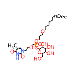 CCCCCCCCCCCCCCCCOCCCOP(=O)(COCCn1cc(C)c(=O)[nH]c1=O)OC1O[C@H](CO)[C@H](O)[C@H](O)[C@H]1O